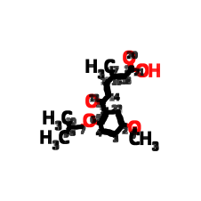 COc1ccc(OCC(C)C)c(C(=O)C=CC(C)=CC(=O)O)c1